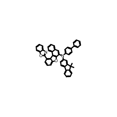 CC1(C)c2ccccc2-c2ccc(N(c3ccc(-c4ccccc4)cc3)c3cc4ccccc4c4c3oc3cccc(-c5nc6ccccc6o5)c34)cc21